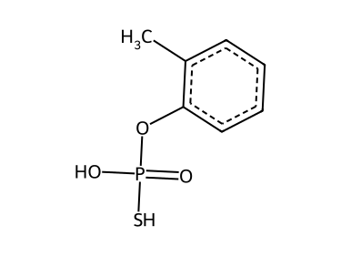 Cc1ccccc1OP(=O)(O)S